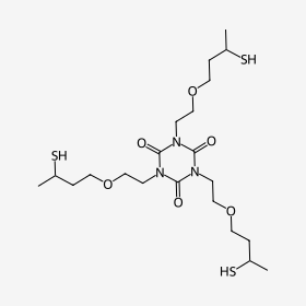 CC(S)CCOCCn1c(=O)n(CCOCCC(C)S)c(=O)n(CCOCCC(C)S)c1=O